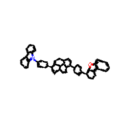 c1ccc2c(c1)oc1c(-c3ccc(-c4ccc5ccc6c(-c7ccc(-n8c9ccccc9c9ccccc98)cc7)ccc7ccc4c5c76)cc3)cccc12